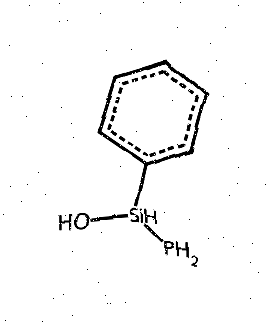 O[SiH](P)c1ccccc1